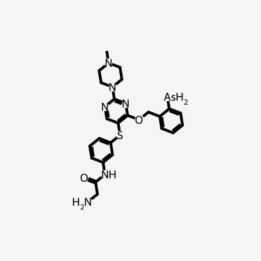 CN1CCN(c2ncc(Sc3cccc(NC(=O)CN)c3)c(OCc3ccccc3[AsH2])n2)CC1